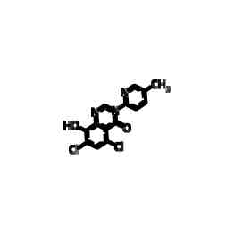 Cc1ccc(-n2cnc3c(O)c(Cl)cc(Cl)c3c2=O)nc1